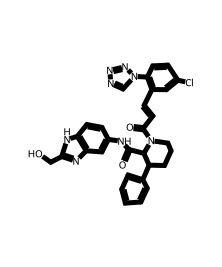 O=C(Nc1ccc2[nH]c(CO)nc2c1)C1C(c2ccccc2)CCCN1C(=O)/C=C/c1cc(Cl)ccc1-n1cnnn1